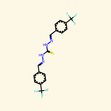 FC(F)(F)c1ccc(/C=N/NC(=S)N/N=C/c2ccc(C(F)(F)F)cc2)cc1